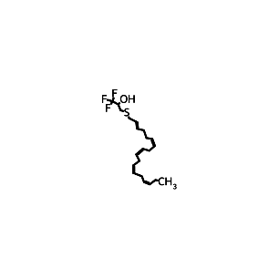 CC/C=C\C/C=C\C/C=C\C/C=C\CC/C=C/CSCC(O)C(F)(F)F